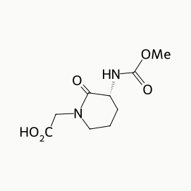 COC(=O)N[C@@H]1CCCN(CC(=O)O)C1=O